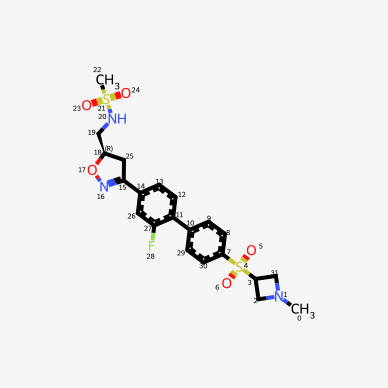 CN1CC(S(=O)(=O)c2ccc(-c3ccc(C4=NO[C@@H](CNS(C)(=O)=O)C4)cc3F)cc2)C1